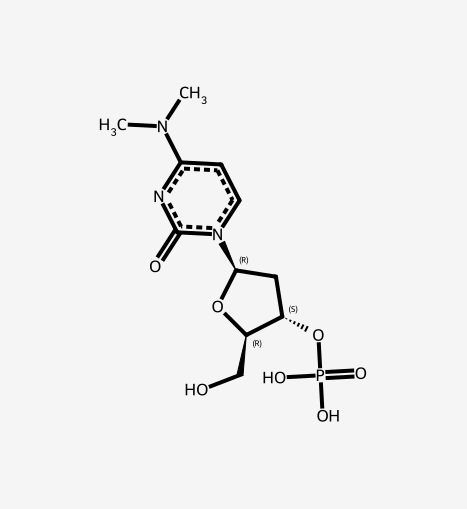 CN(C)c1ccn([C@H]2C[C@H](OP(=O)(O)O)[C@@H](CO)O2)c(=O)n1